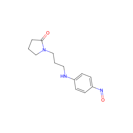 O=Nc1ccc(NCCCN2CCCC2=O)cc1